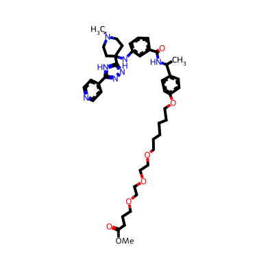 COC(=O)CCCOCCOCCOCCCCCCOc1ccc(C(C)NC(=O)c2cccc(NC3(c4nnc(-c5ccncc5)[nH]4)CCN(C)CC3)c2)cc1